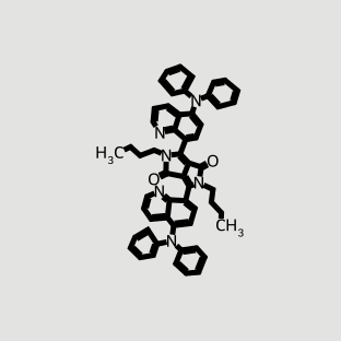 CCCCN1C(=O)C2=C(c3ccc(N(c4ccccc4)c4ccccc4)c4cccnc34)N(CCCC)C(=O)C2=C1c1ccc(N(c2ccccc2)c2ccccc2)c2cccnc12